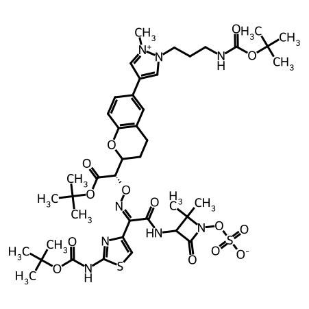 C[n+]1cc(-c2ccc3c(c2)CCC([C@H](O/N=C(\C(=O)NC2C(=O)N(OS(=O)(=O)[O-])C2(C)C)c2csc(NC(=O)OC(C)(C)C)n2)C(=O)OC(C)(C)C)O3)cn1CCCNC(=O)OC(C)(C)C